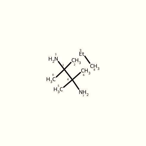 CC(C)(N)C(C)(C)N.CCC